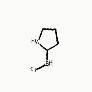 ClBC1CCCN1